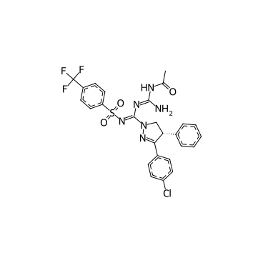 CC(=O)N/C(N)=N/C(=N\S(=O)(=O)c1ccc(C(F)(F)F)cc1)N1C[C@H](c2ccccc2)C(c2ccc(Cl)cc2)=N1